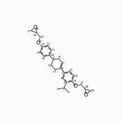 CC(C)c1cc(C2=CCC(c3ccc(OCC4CO4)cc3)CC2)ccc1OCC1CO1